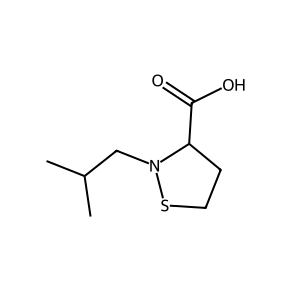 CC(C)CN1SCCC1C(=O)O